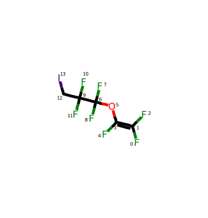 FC(F)=C(F)OC(F)(F)C(F)(F)CI